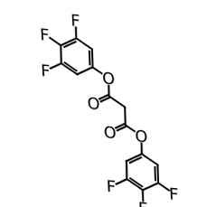 O=C(CC(=O)Oc1cc(F)c(F)c(F)c1)Oc1cc(F)c(F)c(F)c1